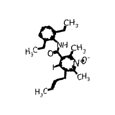 C/C=C/Cc1c(I)c(C(=O)Nc2c(CC)cccc2CC)c(C)[n+]([O-])c1C